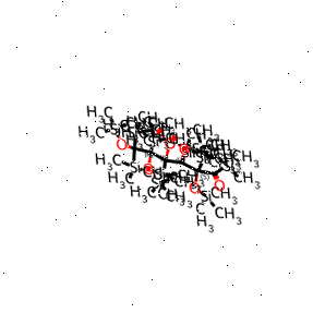 C[Si](C)(C)OC([C@@](O[Si](C)(C)C)([C@](O[Si](C)(C)C)([C@](O[Si](C)(C)C)([C@@](O[Si](C)(C)C)(C(=O)[Si](C)(C)C)[Si](C)(C)C)[Si](C)(C)C)[Si](C)(C)C)[Si](C)(C)C)([Si](C)(C)C)[Si](C)(C)C